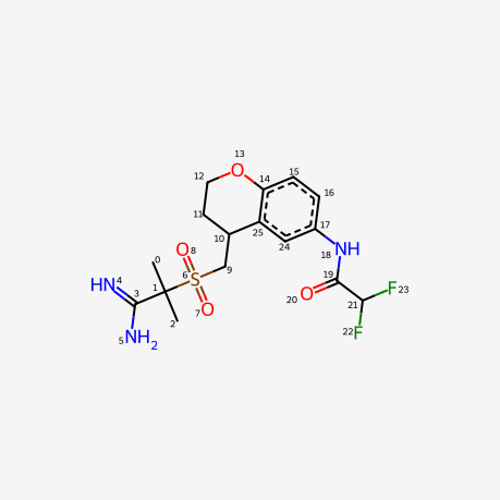 CC(C)(C(=N)N)S(=O)(=O)CC1CCOc2ccc(NC(=O)C(F)F)cc21